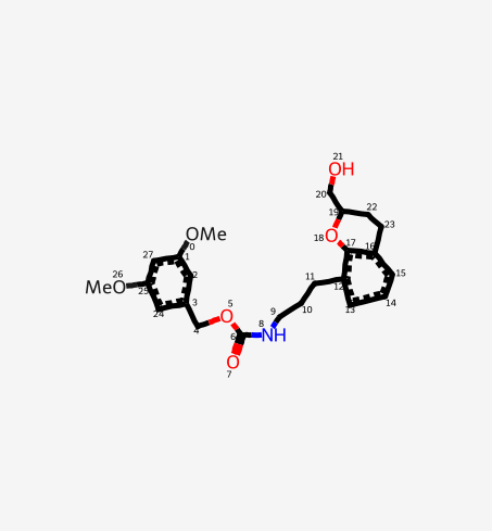 COc1cc(COC(=O)NCCCc2cccc3c2OC(CO)CC3)cc(OC)c1